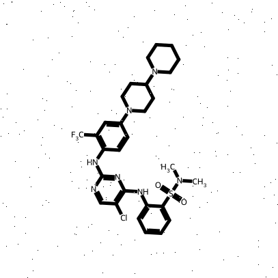 CN(C)S(=O)(=O)c1ccccc1Nc1nc(Nc2ccc(N3CCC(N4CCCCC4)CC3)cc2C(F)(F)F)ncc1Cl